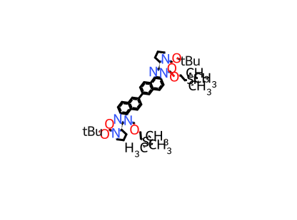 CC(C)(C)OC(=O)N1CCC[C@H]1c1nc2c3ccc(-c4ccc5c(ccc6nc([C@@H]7CCCN7C(=O)OC(C)(C)C)n(COCC[Si](C)(C)C)c65)c4)cc3ccc2n1COCC[Si](C)(C)C